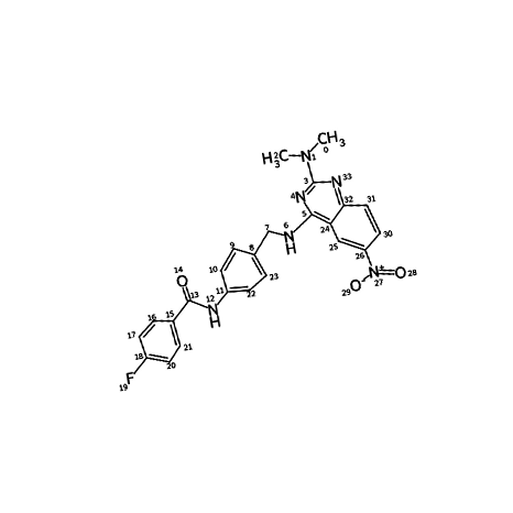 CN(C)c1nc(NCc2ccc(NC(=O)c3ccc(F)cc3)cc2)c2cc([N+](=O)[O-])ccc2n1